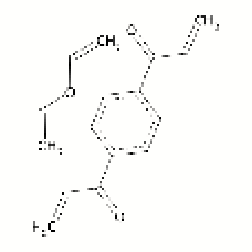 C=CC(=O)c1ccc(C(=O)C=C)cc1.C=COC=C